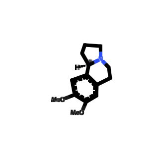 COc1cc2c(cc1OC)[C@H]1CCCN1CC2